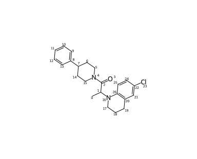 CC(C(=O)N1CCC(c2ccccc2)CC1)N1CCCc2cc(Cl)ccc21